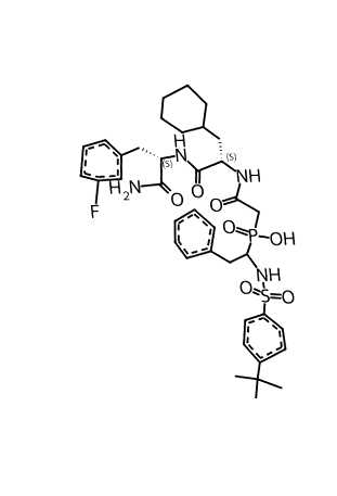 CC(C)(C)c1ccc(S(=O)(=O)NC(Cc2ccccc2)P(=O)(O)CC(=O)N[C@@H](CC2CCCCC2)C(=O)N[C@@H](Cc2cccc(F)c2)C(N)=O)cc1